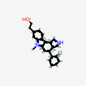 Cn1c2cc(CCO)ccc2c2c3c[nH]cc3c(-c3ccccc3Cl)cc21